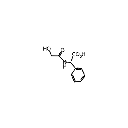 O=C(CO)N[C@@H](C(=O)O)c1ccccc1